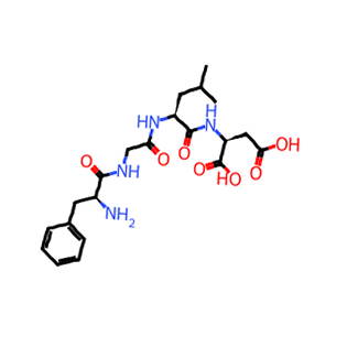 CC(C)C[C@H](NC(=O)CNC(=O)[C@@H](N)Cc1ccccc1)C(=O)N[C@@H](CC(=O)O)C(=O)O